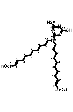 CCCCCCCCC=CCCCCCCCCN(CCCCCCCCC=CCCCCCCCC)c1nc(S)nc(S)n1